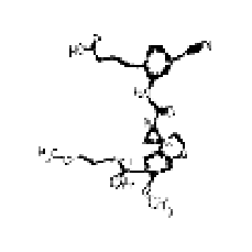 COCCNC(O)c1cc2c(cc1OC)OCC[C@]21C[C@H]1C(=O)Nc1cc(C#N)ccc1CCCC(=O)O